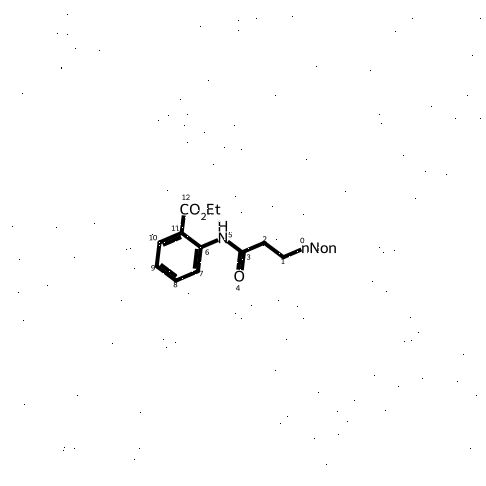 CCCCCCCCCCCC(=O)Nc1ccccc1C(=O)OCC